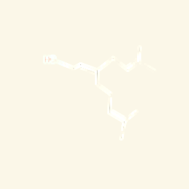 CC(C)=CCC/C(=C\CO)CC=C(C)C